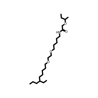 CCCC(CC)CCCCCOCCOCCCCCNC(=O)COC(C)CC